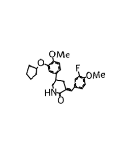 COc1ccc(C=C2CC(c3ccc(OC)c(OC4CCCC4)c3)CNC2=O)cc1F